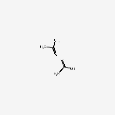 CC(C)=O.NC(=O)O